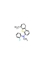 CC1=CCCc2c1sc1c(N(C)c3ccccc3F)cccc21